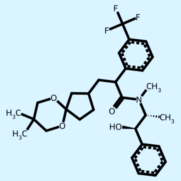 C[C@H]([C@H](O)c1ccccc1)N(C)C(=O)C(CC1CCC2(C1)OCC(C)(C)CO2)c1cccc(C(F)(F)F)c1